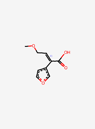 COC/C=C(/C(=O)O)c1ccoc1